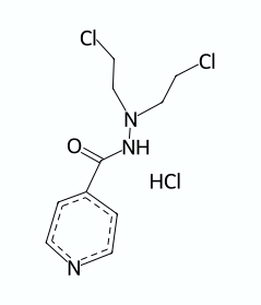 Cl.O=C(NN(CCCl)CCCl)c1ccncc1